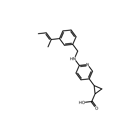 C/C=C(\C)c1cccc(CNc2ccc(C3CC3C(=O)O)cn2)c1